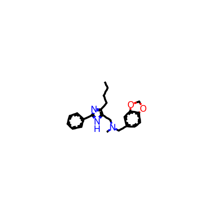 CCCCc1nc(-c2ccccc2)[nH]c1CN(C)Cc1ccc2c(c1)OCO2